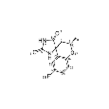 C[C@@H]1CC2(NC(=O)NC2=O)c2cc(F)ccc2O1